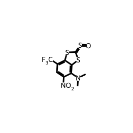 CN(C)c1c([N+](=O)[O-])cc(C(F)(F)F)c2sc(=S=O)sc12